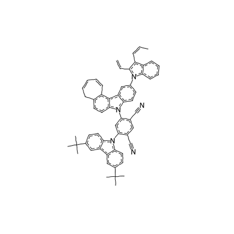 C=Cc1c(/C=C\C)c2ccccc2n1-c1ccc2c(c1)c1c3c(ccc1n2-c1cc(-n2c4ccc(C(C)(C)C)cc4c4cc(C(C)(C)C)ccc42)c(C#N)cc1C#N)CC=CC=C3